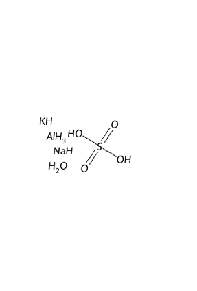 O.O=S(=O)(O)O.[AlH3].[KH].[NaH]